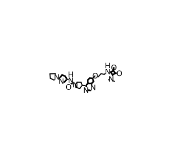 CN(C)c1c(NCCCOc2ccc3c(C4CCN(C(=O)Nc5ccc(N6CCCC6)nc5)CC4)ncnc3c2)c(=O)c1=O